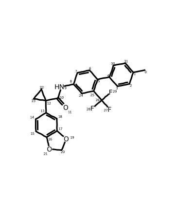 Cc1ccc(-c2ccc(NC(=O)C3(c4ccc5c(c4)OCO5)CC3)cc2C(F)(F)F)cc1